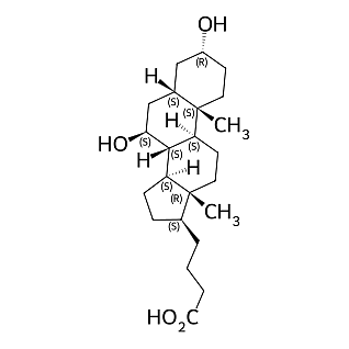 C[C@]12CC[C@@H](O)C[C@H]1C[C@H](O)[C@@H]1[C@@H]2CC[C@]2(C)[C@@H](CCCC(=O)O)CC[C@@H]12